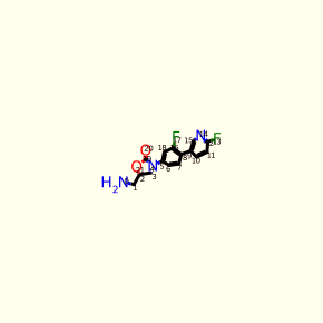 NCC1CN(c2ccc(-c3ccc(F)nc3)c(F)c2)C(=O)O1